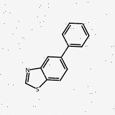 [c]1ccc(-c2ccc3scnc3c2)cc1